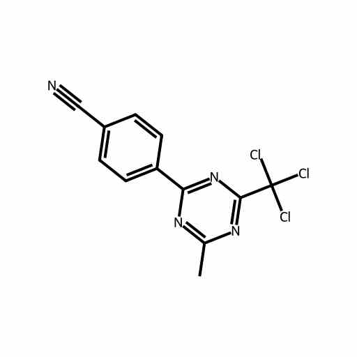 Cc1nc(-c2ccc(C#N)cc2)nc(C(Cl)(Cl)Cl)n1